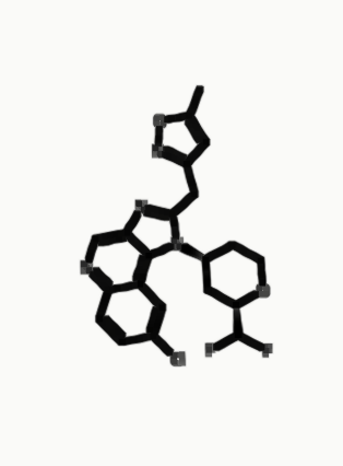 Cc1cc(Cc2nc3cnc4ccc(Cl)cc4c3n2[C@H]2CCO[C@@H](C(F)F)C2)no1